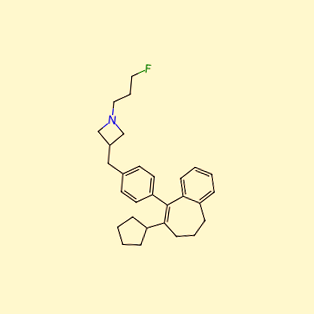 FCCCN1CC(Cc2ccc(C3=C(C4CCCC4)CCCc4ccccc43)cc2)C1